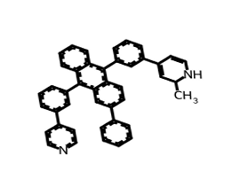 CC1C=C(c2cccc(-c3c4ccccc4c(-c4cccc(-c5ccncc5)c4)c4cc(-c5ccccc5)ccc34)c2)C=CN1